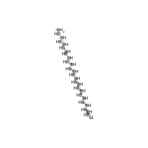 BBBBBBBBBBBBBBBBBBBBBBBBBBCC